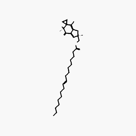 CCCCCCCC/C=C/CCCCCCCC(=O)OC[C@@]1(C)[CH]C2=C(C)C3(CC3)[C@@](C)(O)C(=O)C2=C1